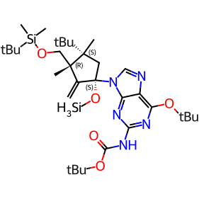 C=C1[C@](O[SiH3])(n2cnc3c(OC(C)(C)C)nc(NC(=O)OC(C)(C)C)nc32)C[C@@](C)(C(C)(C)C)[C@@]1(C)CO[Si](C)(C)C(C)(C)C